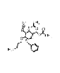 CCCCOC1C(N=[N+]=[N-])[C@H](OC(C)=O)C(COC(C)=O)O[C@@H]1Sc1ccccc1